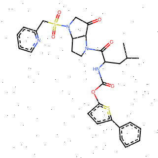 CC(C)CC(NC(=O)Oc1ccc(-c2ccccc2)s1)C(=O)N1CCC2C1C(=O)CN2S(=O)(=O)Cc1ccccn1